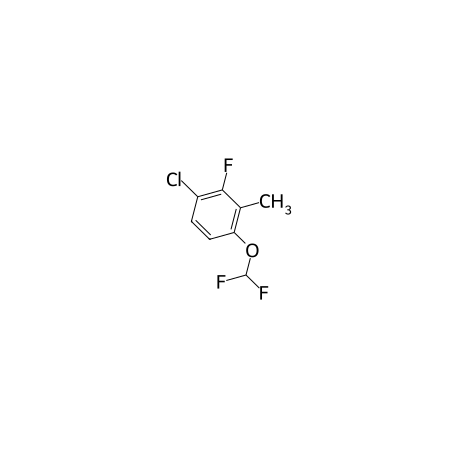 Cc1c(OC(F)F)ccc(Cl)c1F